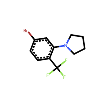 FC(F)(F)c1ccc(Br)cc1N1CCCC1